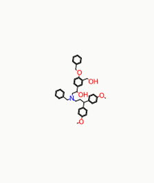 COc1ccc(C(CCN(Cc2ccccc2)CC(O)c2ccc(OCc3ccccc3)c(CO)c2)c2ccc(OC)cc2)cc1